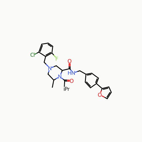 CC(C)C(=O)N1C(C)CN(Cc2c(F)cccc2Cl)CC1C(=O)NCc1ccc(-c2ccco2)cc1